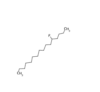 CCCCCCCCCCC[C](F)CCCC